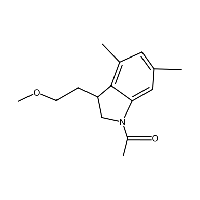 COCCC1CN(C(C)=O)c2cc(C)cc(C)c21